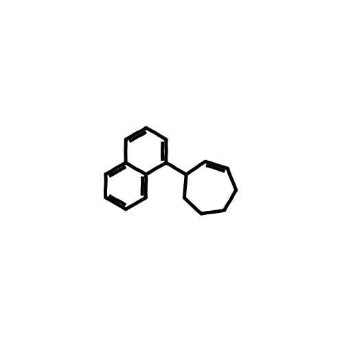 C1=CC(c2cccc3ccccc23)CCCC1